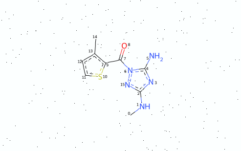 CNc1nc(N)n(C(=O)c2sccc2C)n1